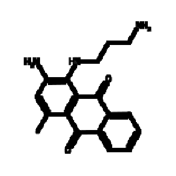 Cc1cc(N)c(NCCCN)c2c1C(=O)c1ccccc1C2=O